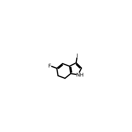 FC1=Cc2c(I)c[nH]c2CC1